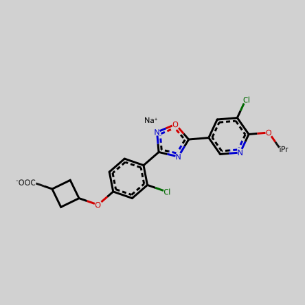 CC(C)Oc1ncc(-c2nc(-c3ccc(OC4CC(C(=O)[O-])C4)cc3Cl)no2)cc1Cl.[Na+]